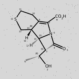 C[C@@H](O)[C@H]1C(=O)N2C(C(=O)O)=C3CCSC[C@H]3[C@H]12